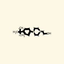 CC(C)(C)c1ccc(N2CCN(CCO)CC2)cc1